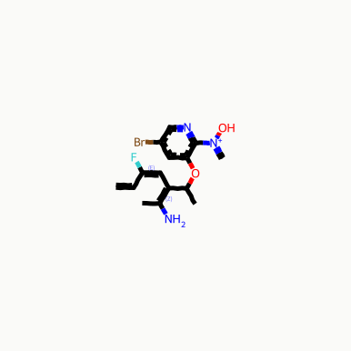 C=C/C(F)=C\C(=C(/C)N)C(C)Oc1cc(Br)cnc1[N+](=C)O